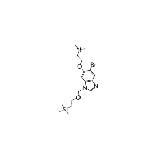 CN(C)CCOc1cc2c(cc1Br)ncn2COCC[Si](C)(C)C